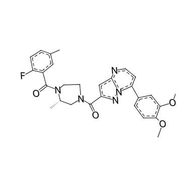 COc1ccc(-c2ccnc3cc(C(=O)N4CCN(C(=O)c5cc(C)ccc5F)[C@@H](C)C4)nn23)cc1OC